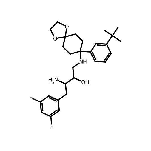 CC(C)(C)c1cccc(C2(NCC(O)C(N)Cc3cc(F)cc(F)c3)CCC3(CC2)OCCO3)c1